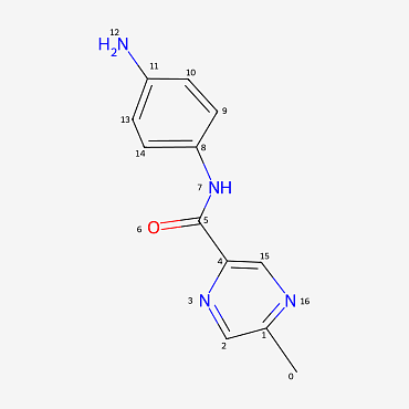 Cc1cnc(C(=O)Nc2ccc(N)cc2)cn1